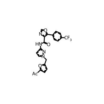 CC(=O)c1ccc(Cn2ccc(NC(=O)c3ncoc3-c3ccc(C(F)(F)F)cc3)n2)o1